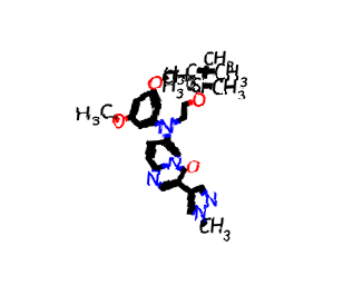 COc1cc(OC)cc(N(CCO[Si](C)(C)C(C)(C)C)c2ccc3ncc(-c4cnn(C)c4)c(=O)n3c2)c1